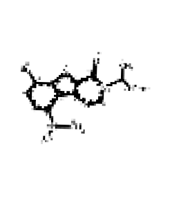 CCCCCC(C)n1cnc2c(sc3c(Br)ccc(N(C)C)c32)c1=O